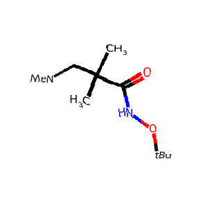 CNCC(C)(C)C(=O)NOC(C)(C)C